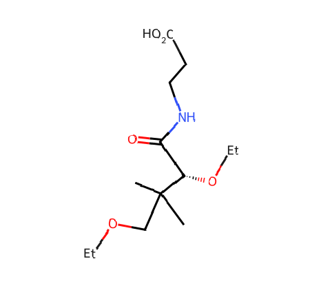 CCOCC(C)(C)[C@@H](OCC)C(=O)NCCC(=O)O